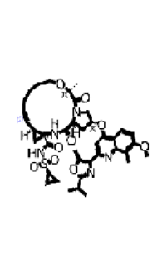 COc1ccc2c(O[C@@H]3C[C@H]4C(=O)N[C@]5(C(=O)NS(=O)(=O)C6CC6)C[C@H]5/C=C\CCCCO[C@H](C)C(=O)N4C3)cc(C3N=C(C(C)C)OC3C)nc2c1C